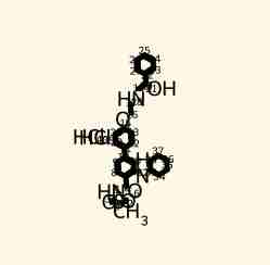 CS(=O)(=O)NC(=O)c1ccc(-c2ccc(OCCNC[C@@H](O)c3ccccc3)cc2)cc1NC1CCCCC1.Cl.Cl